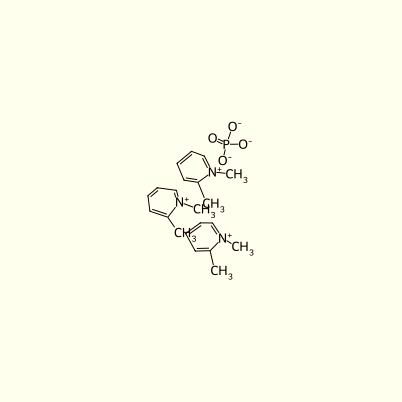 Cc1cccc[n+]1C.Cc1cccc[n+]1C.Cc1cccc[n+]1C.O=P([O-])([O-])[O-]